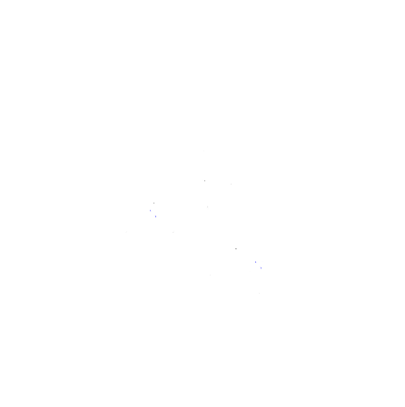 C=CCC(C)(C)c1cc(N(C)C)ccc1N=C